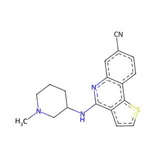 CN1CCCC(Nc2nc3cc(C#N)ccc3c3sccc23)C1